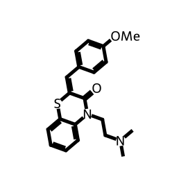 COc1ccc(C=C2Sc3ccccc3N(CCN(C)C)C2=O)cc1